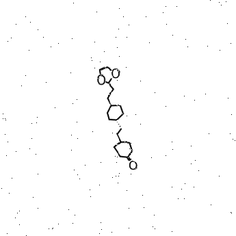 O=C1CCC(CC[C@H]2CC[C@H](CCC3OCCO3)CC2)CC1